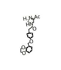 CC(=O)[C@@H](N)CNC(=O)Cc1ccc(OCc2cccc3c2OCCO3)cc1